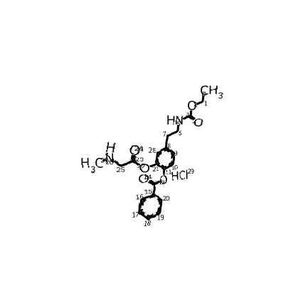 CCOC(=O)NCCc1ccc(OC(=O)c2ccccc2)c(OC(=O)CNC)c1.Cl